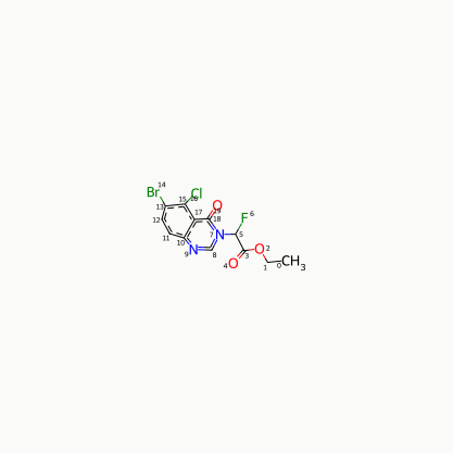 CCOC(=O)C(F)n1cnc2ccc(Br)c(Cl)c2c1=O